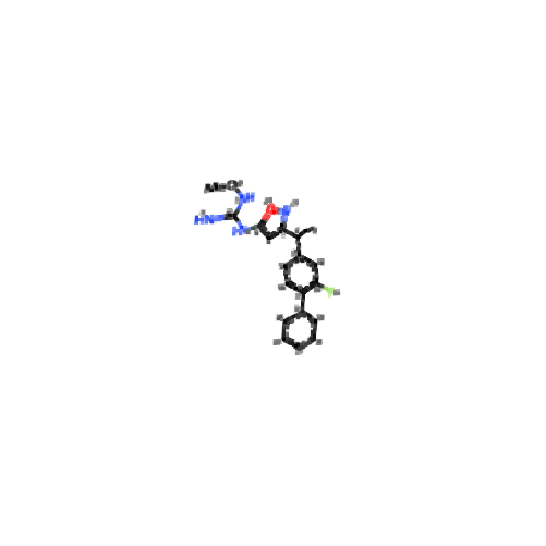 CONC(=N)Nc1cc(C(C)c2ccc(-c3ccccc3)c(F)c2)no1